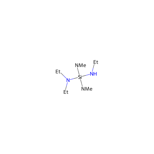 CCN[Si](NC)(NC)N(CC)CC